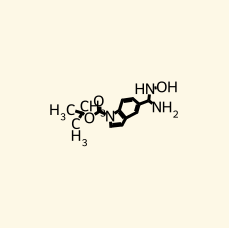 CC(C)(C)OC(=O)n1ccc2cc(C(N)NO)ccc21